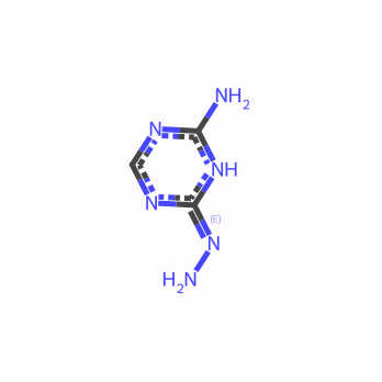 N/N=c1\ncnc(N)[nH]1